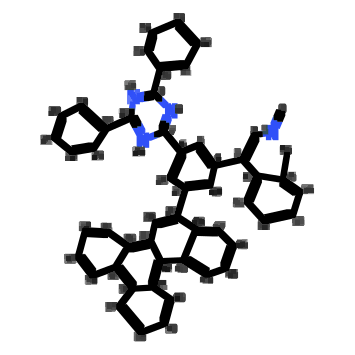 C=N/C=C(/c1cc(-c2nc(-c3ccccc3)nc(-c3ccccc3)n2)cc(-c2cc3c4ccccc4c4ccccc4c3c3ccccc23)c1)c1ccccc1C